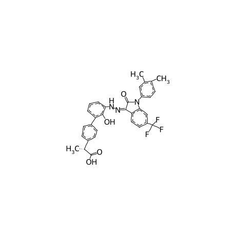 Cc1ccc(N2C(=O)/C(=N\Nc3cccc(-c4ccc([C@@H](C)C(=O)O)cc4)c3O)c3ccc(C(F)(F)F)cc32)cc1C